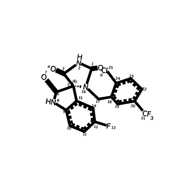 O=C1NC(=O)[C@@]2(C(=O)Nc3ccc(F)cc32)N1Cc1cc(C(F)(F)F)ccc1Cl